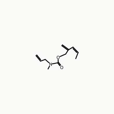 C=CCN(C)C(=O)OCC(=C)/C=C\C